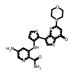 NC(=O)c1ncc(N)cc1Nc1ccsc1-c1csc2c(=O)cc(N3CCOCC3)sc12